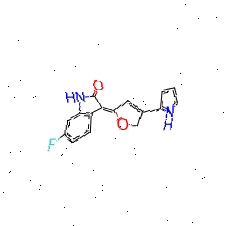 O=C1Nc2cc(F)ccc2/C1=C1/C=C(c2ccc[nH]2)CO1